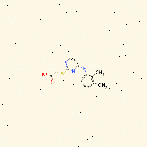 Cc1cccc(Nc2ccnc(SCC(=O)O)n2)c1C